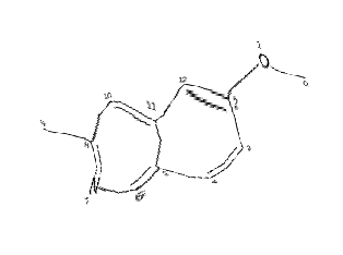 COc1ccc2cnc(C)cc2c1